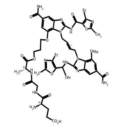 CCc1nc(C)oc1C(=O)Nc1nc2cc(C(N)=O)cc(OCCCOC(=O)[C@@H](C)NC(=O)CNC(=O)[C@H](N)CCC(=O)O)c2n1C/C=C/Cn1c(NC(O)c2oc(C)nc2CC)nc2cc(C(N)=O)cc(OC)c21